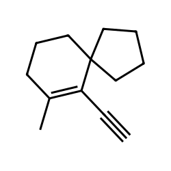 C#CC1=C(C)CCCC12CCCC2